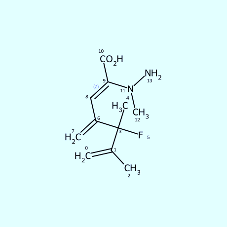 C=C(C)C(C)(F)C(=C)/C=C(/C(=O)O)N(C)N